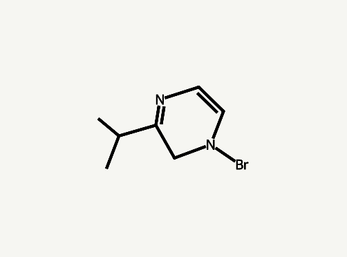 CC(C)C1=NC=CN(Br)C1